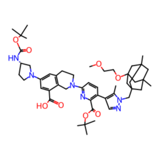 COCCOC12CC3(C)CC(C)(CC(Cn4ncc(-c5ccc(N6CCc7cc(N8CC[C@H](NC(=O)OC(C)(C)C)C8)cc(C(=O)O)c7C6)nc5C(=O)OC(C)(C)C)c4C)(C3)C1)C2